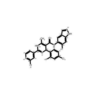 CC1=C(C(=O)Nc2cc3cn[nH]c3cc2F)C(c2ccc(Cl)cc2F)N=C(c2ccnc(Cl)c2)N1